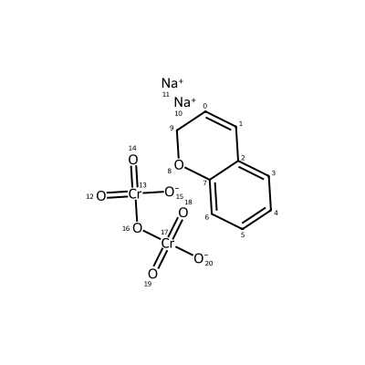 C1=Cc2ccccc2OC1.[Na+].[Na+].[O]=[Cr](=[O])([O-])[O][Cr](=[O])(=[O])[O-]